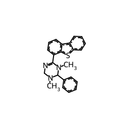 CN1CN=C(c2cccc3c2sc2ccccc23)N(C)C1c1ccccc1